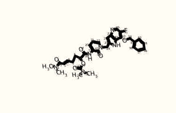 CN(C)C(=O)/C=C/CCC(OC(=O)N(C)C)C(=O)Nc1cccn(Cc2cc3ncc(F)c(OCc4ccccc4)c3[nH]2)c1=O